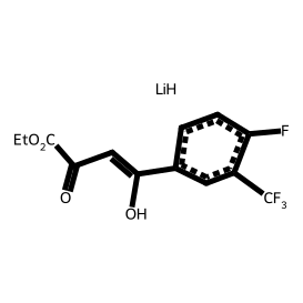 CCOC(=O)C(=O)C=C(O)c1ccc(F)c(C(F)(F)F)c1.[LiH]